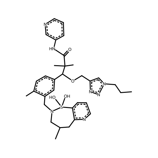 CCCn1cc(COC(c2ccc(C)c(CN3CC(C)Cc4ncccc4S3(O)O)c2)C(C)(C)C(=O)Nc2cccnc2)nn1